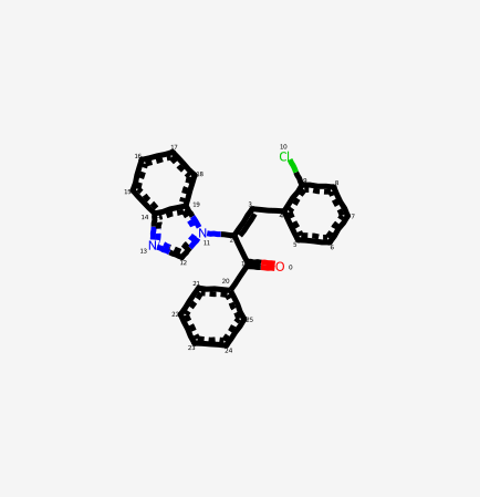 O=C(C(=Cc1ccccc1Cl)n1cnc2ccccc21)c1ccccc1